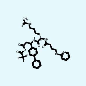 CC(=O)NCCCC[C@H](NC(=O)CCCNc1ccccn1)C(=O)NC(CC(=O)OC(=O)C(F)(F)F)c1ccc(-c2ccccc2)cc1